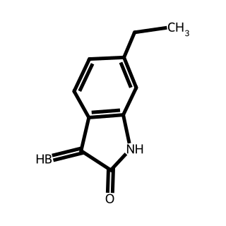 B=C1C(=O)Nc2cc(CC)ccc21